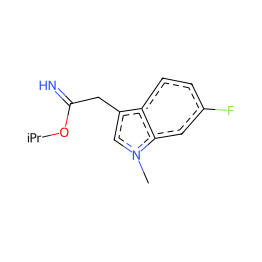 CC(C)OC(=N)Cc1cn(C)c2cc(F)ccc12